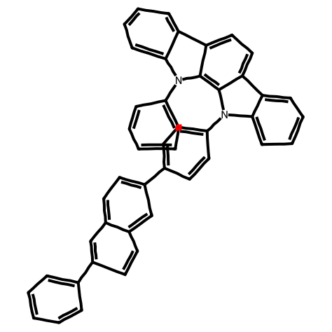 c1ccc(-c2ccc3cc(-c4ccc(-n5c6ccccc6c6ccc7c8ccccc8n(-c8ccccc8)c7c65)cc4)ccc3c2)cc1